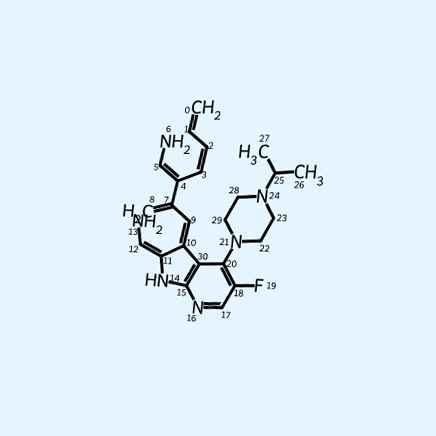 C=C/C=C\C(=C/N)C(=C)/C=c1\c(=C/N)[nH]c2ncc(F)c(N3CCN(C(C)C)CC3)c12